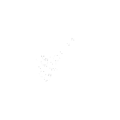 C=Cc1cnc(Nc2cc(C)c(N3CCC(N4CCN(C)CC4)CC3)cc2OC)nc1Nc1ccc2nccnc2c1SNC